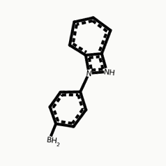 Bc1ccc(-n2[nH]c3ccccc32)cc1